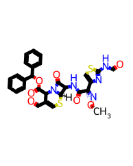 CO/N=C(\C(=O)NC1C(=O)N2C(C(=O)OC(c3ccccc3)c3ccccc3)C(C=O)=CS[C@H]12)c1csc(NC=O)n1